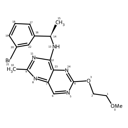 COCCOc1ncc2nc(C)nc(N[C@H](C)c3cccc(Br)c3)c2n1